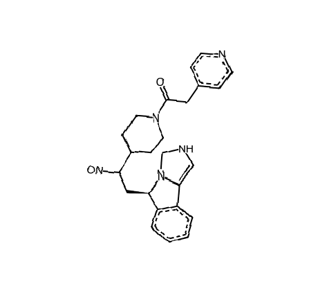 O=NC(C[C@@H]1c2ccccc2C2=CNCN21)C1CCN(C(=O)Cc2ccncc2)CC1